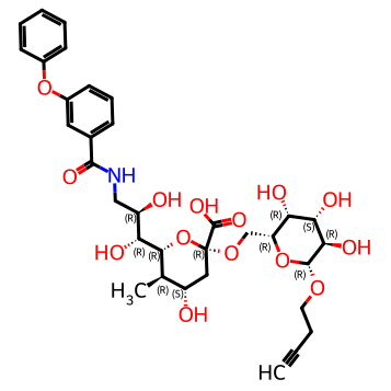 C#CCCO[C@@H]1O[C@H](CO[C@]2(C(=O)O)C[C@H](O)[C@@H](C)[C@H]([C@H](O)[C@H](O)CNC(=O)c3cccc(Oc4ccccc4)c3)O2)[C@H](O)[C@H](O)[C@H]1O